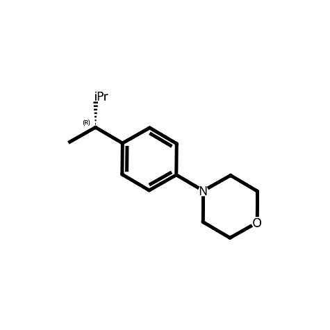 CC(C)[C@@H](C)c1ccc(N2CCOCC2)cc1